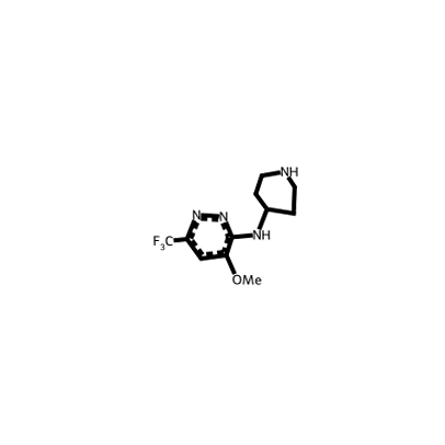 COc1cc(C(F)(F)F)nnc1NC1CCNCC1